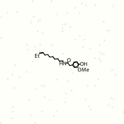 CC/C=C\CCCCCCCCNC(=O)Cc1ccc(O)c(OC)c1